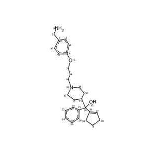 NCc1ccc(OCCCN2CCC(C(O)(C3=CCCC3)c3ccccc3)CC2)cc1